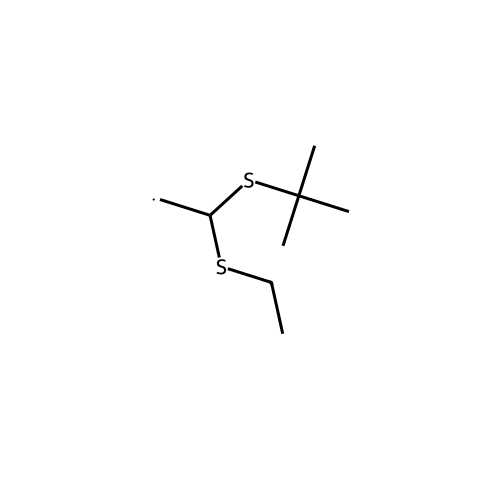 [CH2]C(SCC)SC(C)(C)C